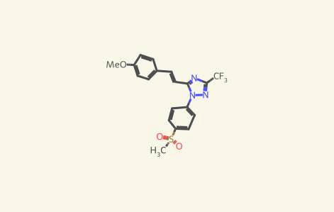 COc1ccc(/C=C/c2nc(C(F)(F)F)nn2-c2ccc(S(C)(=O)=O)cc2)cc1